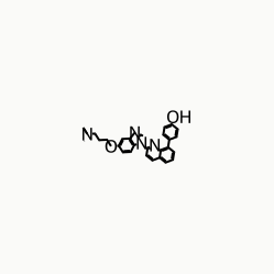 CN(C)CCCOc1ccc2c(c1)ncn2-c1ccc2cccc(-c3ccc(O)cc3)c2n1